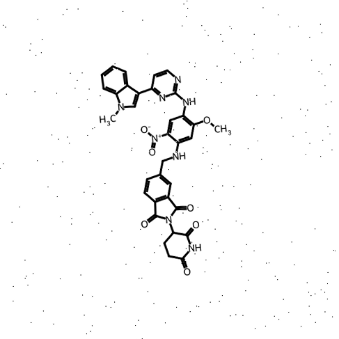 COc1cc(NCc2ccc3c(c2)C(=O)N(C2CCC(=O)NC2=O)C3=O)c([N+](=O)[O-])cc1Nc1nccc(-c2cn(C)c3ccccc23)n1